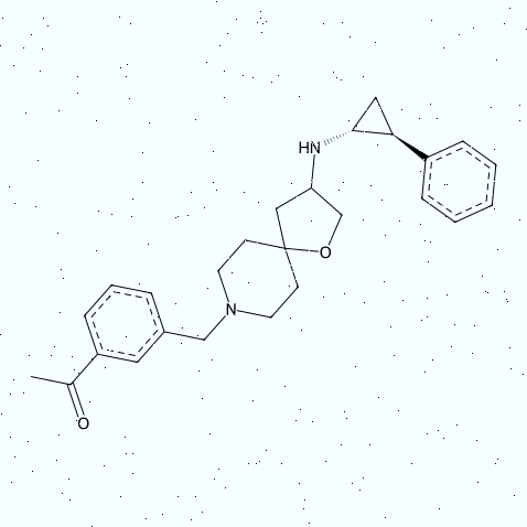 CC(=O)c1cccc(CN2CCC3(CC2)CC(N[C@@H]2C[C@H]2c2ccccc2)CO3)c1